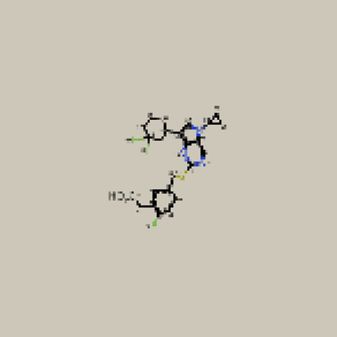 O=C(O)Cc1cc(CSc2ncc3c(n2)c(C2CCCC(F)(F)C2)cn3C2CC2)ccc1F